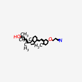 C=C1CC[C@H](OCCC#N)C/C1=C/C=C1CCC[C@@]2(C)C1CC[C@@H]2[C@H](C)CCCC(C)(C)O